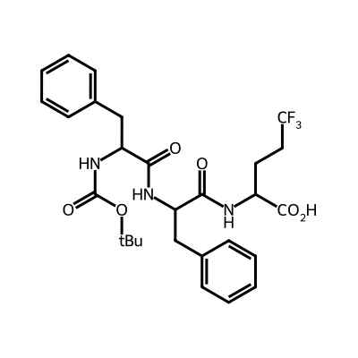 CC(C)(C)OC(=O)NC(Cc1ccccc1)C(=O)NC(Cc1ccccc1)C(=O)NC(CCC(F)(F)F)C(=O)O